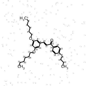 CCCCCCOc1cc(C=CC(=O)c2ccc(SCCC)cc2)cc(OCCCCCC)c1